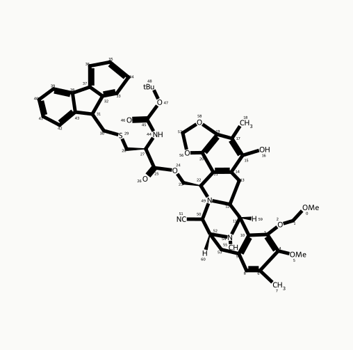 COCOc1c(OC)c(C)cc2c1[C@H]1C3Cc4c(O)c(C)c5c(c4[C@H](COC(=O)[C@@H](CSCC4c6ccccc6-c6ccccc64)NC(=O)OC(C)(C)C)N3C(C#N)[C@@H](C2)N1C)OCO5